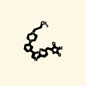 CCCN1CCN(c2cccc(-c3cnc4ccc(/C=C5\SC(=O)NC5=O)nn34)c2)CC1